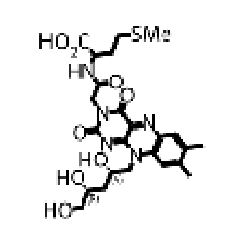 CSCCC(NC(=O)Cn1c(=O)nc2n(C[C@@H](O)C[C@@H](O)CO)c3cc(C)c(C)cc3nc-2c1=O)C(=O)O